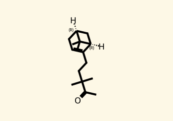 CC(=O)C(C)(C)CCC1=CC[C@H]2C[C@@H]1C2(C)C